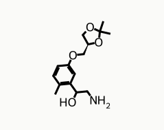 Cc1ccc(OC[C@H]2COC(C)(C)O2)cc1C(O)CN